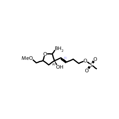 BC1OC(COC)C[C@@]1(O)/C=C/CCOS(C)(=O)=O